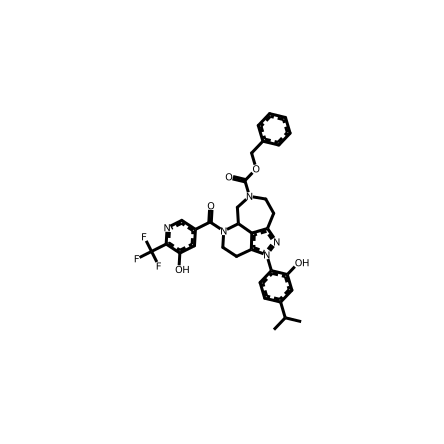 CC(C)c1ccc(-n2nc3c4c2CCN(C(=O)c2cnc(C(F)(F)F)c(O)c2)C4CN(C(=O)OCc2ccccc2)CC3)c(O)c1